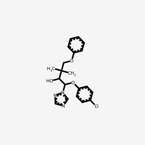 CC(C)(COc1ccccc1)C(O)C(Oc1ccc(Cl)cc1)n1cncn1